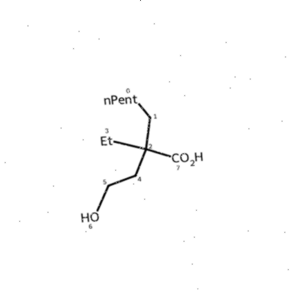 CCCCCCC(CC)(CCO)C(=O)O